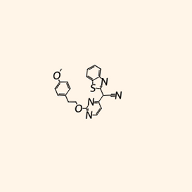 COc1ccc(CCOc2nccc(C(C#N)c3nc4ccccc4s3)n2)cc1